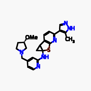 CO[C@H]1CCN(Cc2ccnc(NC34CC3c3ccc(-c5cn[nH]c5C)nc3S4)c2)C1